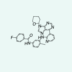 Cc1ccc(NC(=O)c2ccc(F)cc2)cc1Nc1ncccc1-c1ncnc2c1ncn2C1CCCCO1